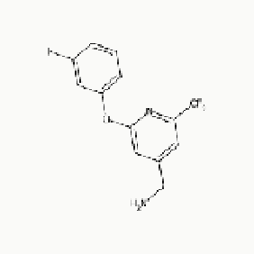 NCc1cc(Oc2cccc(I)c2)nc(C(F)(F)F)c1